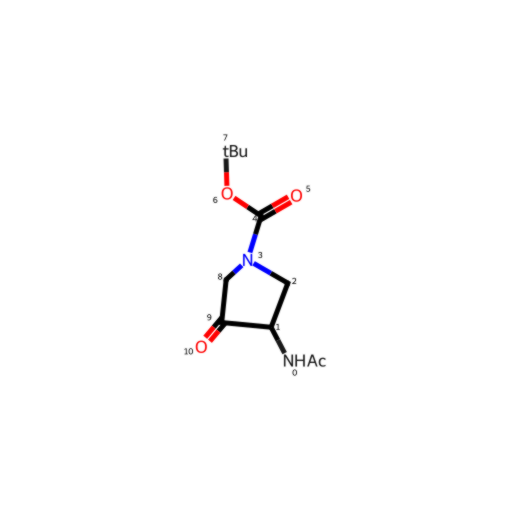 CC(=O)NC1CN(C(=O)OC(C)(C)C)CC1=O